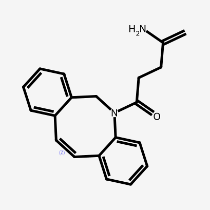 C=C(N)CCC(=O)N1Cc2ccccc2/C=C\c2ccccc21